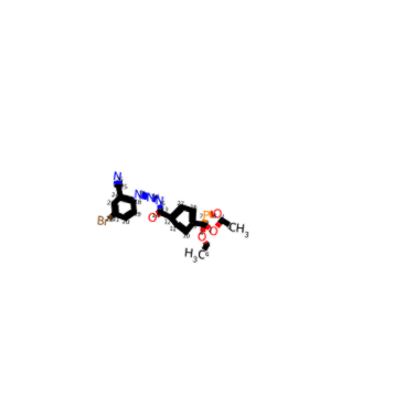 CCOC(OCC)(P=O)c1ccc(C(=O)N=[N+]=Nc2ccc(Br)cc2C#N)cc1